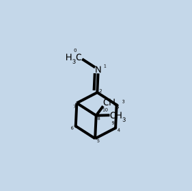 CN=C1CCC2CC1C2(C)C